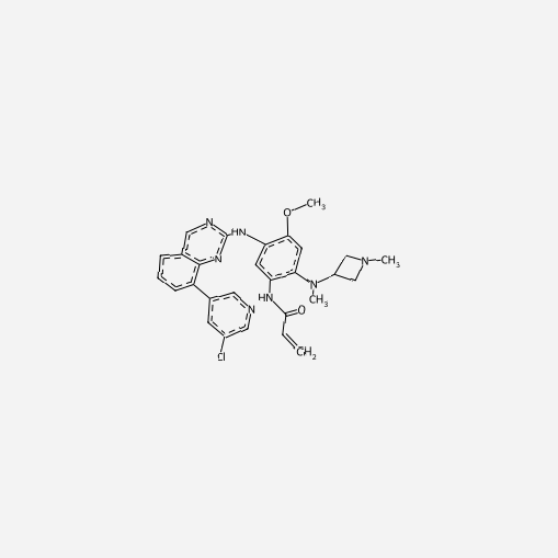 C=CC(=O)Nc1cc(Nc2ncc3cccc(-c4cncc(Cl)c4)c3n2)c(OC)cc1N(C)C1CN(C)C1